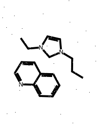 CCCN1C=CN(CC)C1.c1ccc2ncccc2c1